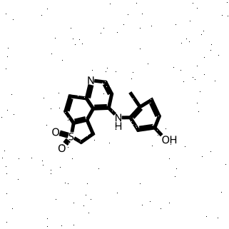 Cc1ccc(O)cc1Nc1ccnc2ccc3c(c12)CCS3(=O)=O